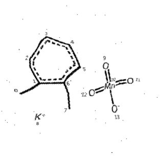 Cc1ccccc1C.[K+].[O]=[Mn](=[O])(=[O])[O-]